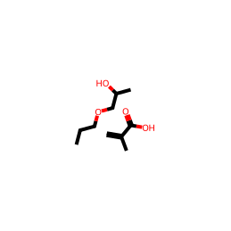 C=C(C)C(=O)O.CCCOCC(C)O